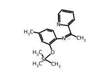 C/C(=N/c1ccc(C)cc1O[Si](C)(C)C)c1ccccn1